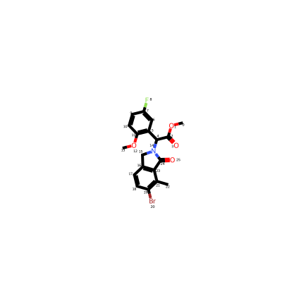 COC(=O)C(c1cc(F)ccc1OC)N1Cc2ccc(Br)c(C)c2C1=O